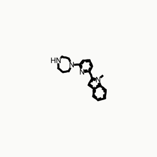 Cn1c(-c2cccc(N3CCCNCC3)n2)cc2ccccc21